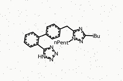 CCCCCn1nc(C(C)CC)nc1Cc1ccc(-c2ccccc2-c2nnn[nH]2)cc1